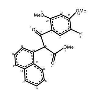 CCc1cc(C(=O)C(C(=O)OC)c2cccc3ccccc23)c(OC)cc1OC